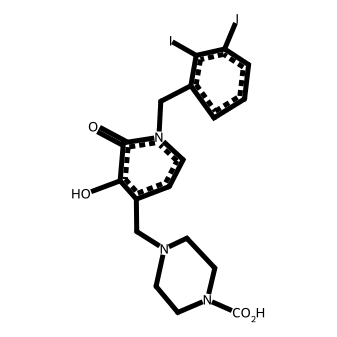 O=C(O)N1CCN(Cc2ccn(Cc3cccc(I)c3I)c(=O)c2O)CC1